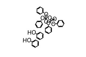 O=P(Oc1ccccc1)(Oc1ccccc1)OP(=O)(Oc1ccccc1)Oc1ccccc1.Oc1ccccc1.Oc1ccccc1